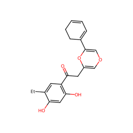 CCc1cc(C(=O)CC2=COC=C(C3=CC=CCC3)O2)c(O)cc1O